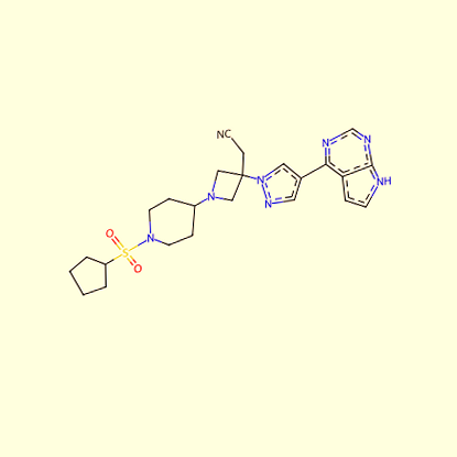 N#CCC1(n2cc(-c3ncnc4[nH]ccc34)cn2)CN(C2CCN(S(=O)(=O)C3CCCC3)CC2)C1